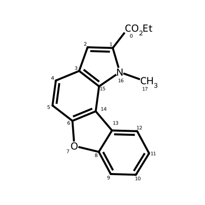 CCOC(=O)c1cc2ccc3oc4ccccc4c3c2n1C